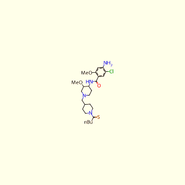 CCCCC(=S)N1CCC(CN2CCC(NC(=O)c3cc(Cl)c(N)cc3OC)C(OC)C2)CC1